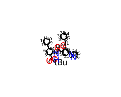 CC(C)(C)OC(=O)c1ccc(-c2ccccc2)cc1NC(=O)c1ccc(-n2cccn2)cc1OCc1ccccc1